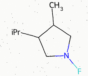 CC(C)C1CN(F)CC1C